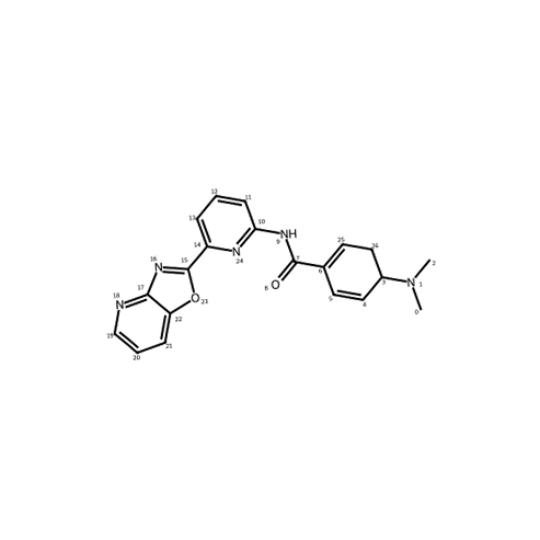 CN(C)C1C=CC(C(=O)Nc2cccc(-c3nc4ncccc4o3)n2)=CC1